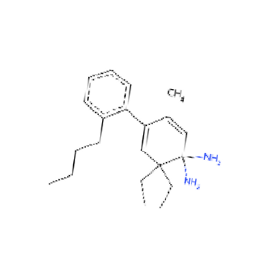 C.CCCCc1ccccc1C1=CC(CC)(CC)C(N)(N)C=C1